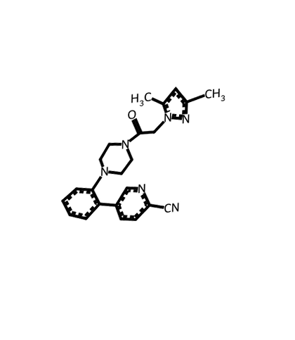 Cc1cc(C)n(CC(=O)N2CCN(c3ccccc3-c3ccc(C#N)nc3)CC2)n1